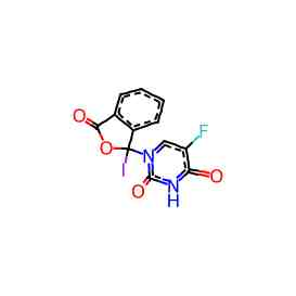 O=C1OC(I)(n2cc(F)c(=O)[nH]c2=O)c2ccccc21